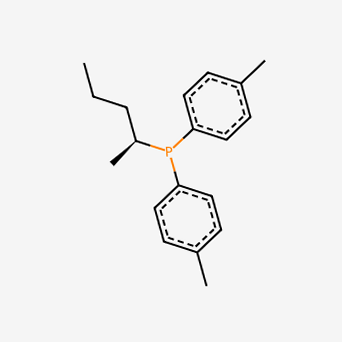 CCC[C@H](C)P(c1ccc(C)cc1)c1ccc(C)cc1